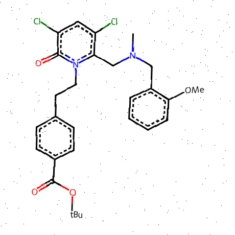 COc1ccccc1CN(C)Cc1c(Cl)cc(Cl)c(=O)n1CCc1ccc(C(=O)OC(C)(C)C)cc1